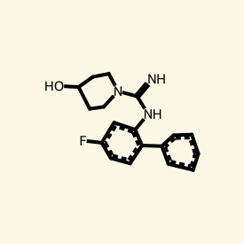 N=C(Nc1cc(F)ccc1-c1ccccc1)N1CCC(O)CC1